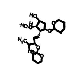 CCCCC(C)[C@@H](C=C[C@@H]1[C@@H](O)[C@@H](O)C[C@H]1OC1CCCCO1)OC1CCCCO1.[OH]